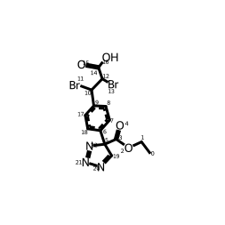 CCOC(=O)C1(c2ccc(C(Br)C(Br)C(=O)O)cc2)C=NN=N1